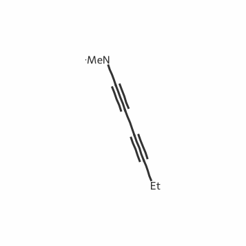 CCC#CC#C[N]C